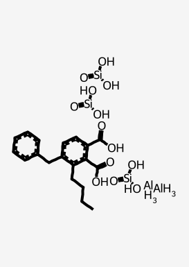 CCCCc1c(Cc2ccccc2)ccc(C(=O)O)c1C(=O)O.O=[Si](O)O.O=[Si](O)O.O=[Si](O)O.[AlH3].[AlH3]